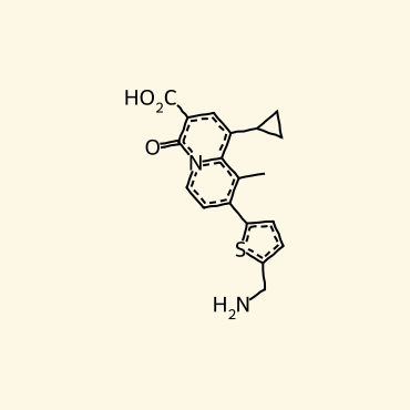 Cc1c(-c2ccc(CN)s2)ccn2c(=O)c(C(=O)O)cc(C3CC3)c12